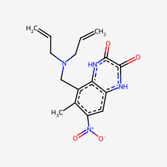 C=CCN(CC=C)Cc1c(C)c([N+](=O)[O-])cc2[nH]c(=O)c(=O)[nH]c12